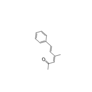 CC(=O)/C=C(C)\C=C\c1ccccc1